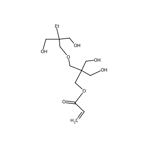 C=CC(=O)OCC(CO)(CO)COCC(CC)(CO)CO